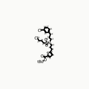 CC(C)(C)OC(=O)c1ccc(CCCN(CCCc2cccc(Cl)c2)S(=O)(=O)CCCCl)s1